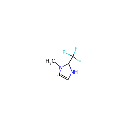 CN1[C]=CNC1C(F)(F)F